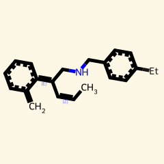 C=c1cccc/c1=C(/C=C\C)CNCc1ccc(CC)cc1